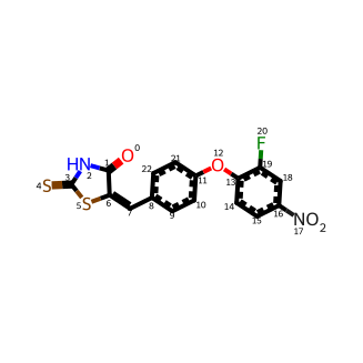 O=C1NC(=S)S/C1=C/c1ccc(Oc2ccc([N+](=O)[O-])cc2F)cc1